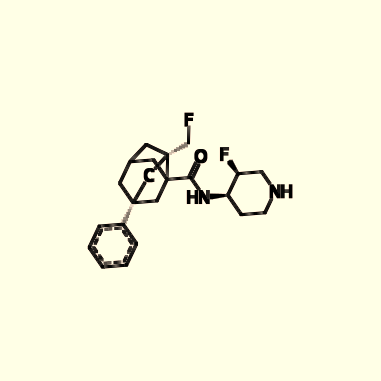 O=C(N[C@@H]1CCNC[C@@H]1F)C12CC3C[C@](c4ccccc4)(C1)C[C@@]2(CF)C3